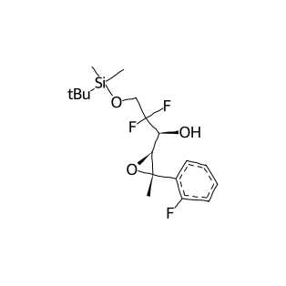 CC(C)(C)[Si](C)(C)OCC(F)(F)[C@@H](O)[C@@H]1O[C@@]1(C)c1ccccc1F